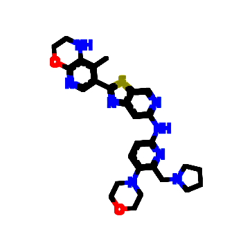 Cc1c(-c2nc3cc(Nc4ccc(N5CCOCC5)c(CN5CCCC5)n4)ncc3s2)cnc2c1NCCO2